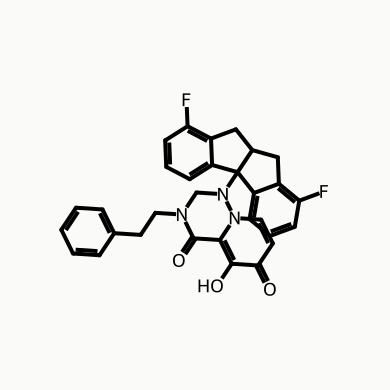 O=C1c2c(O)c(=O)ccn2N(C23c4cccc(F)c4CC2Cc2c(F)cccc23)CN1CCc1ccccc1